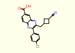 N#CC1CC(Cc2nc3cc(C(=O)O)ccc3nc2-c2ccc(Cl)cc2)C1